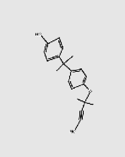 CC(C)(C#CO)Oc1ccc(C(C)(C)c2ccc(O)cc2)cc1